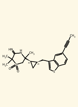 CC#Cc1ccc2scc(C[C@H]3C[C@H]3C3(C)CS(=O)(=O)C(C)(C)C(=N)N3)c2c1